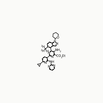 [2H]C([2H])([2H])c1ccc2c(cnn2C2CCCCO2)c1-c1nc(-c2ccc(C3CC3)nc2Nc2ncccn2)nc(C(=O)OCC)c1N